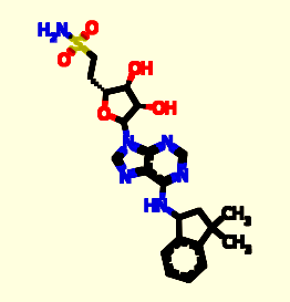 CC1(C)CC(Nc2ncnc3c2ncn3C2O[C@H](CCS(N)(=O)=O)[C@@H](O)[C@H]2O)c2ccccc21